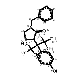 CC(C)(C)C(c1ccc(O)cc1)(C1SCN(Cc2ccccc2)C1=O)C(C)(C)C